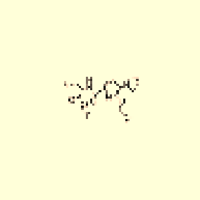 CC(C)CC(NC(=O)c1ccc(N2CCCC2)c(OCC2CC2)n1)C(=O)OCF